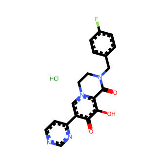 Cl.O=C1c2c(O)c(=O)c(-c3ccncn3)cn2CCN1Cc1ccc(F)cc1